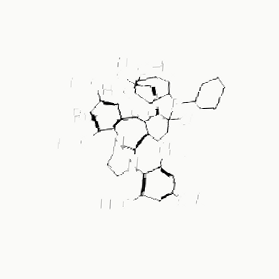 Cc1cc(C)c(N2CCN(c3c(C)cc(C)cc3C)C2=C2CCC(Cl)(P(C3CCCCC3)C3CCCCC3)C(=C=CC(C)(C)C)C2Cl)c(C)c1.[Ru+2]